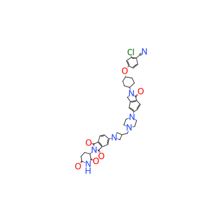 N#Cc1ccc(O[C@H]2CC[C@H](N3Cc4cc(N5CCN(CC6CN(c7ccc8c(c7)C(=O)N(C7CCC(=O)NC7=O)C8=O)C6)CC5)ccc4C3=O)CC2)cc1Cl